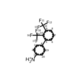 Nc1ccc(-c2cccc(C(F)(F)F)c2C(F)(F)F)cc1